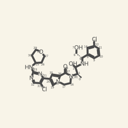 C[C@H](C(O)N[C@H](CO)c1cccc(Cl)c1)N1CCn2cc(-c3nc(NC4CCOCC4)ncc3Cl)cc2C1=O